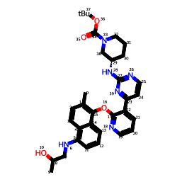 Cc1ccc2c(NCC(C)O)cccc2c1Oc1ncccc1-c1ccnc(N[C@H]2CCCN(C(=O)OC(C)(C)C)C2)n1